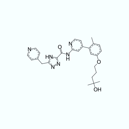 Cc1ccc(OCCCC(C)(C)O)cc1-c1ccnc(NC(=O)c2nnc(Cc3ccncc3)[nH]2)c1